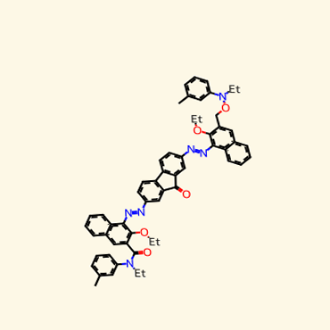 CCOc1c(CON(CC)c2cccc(C)c2)cc2ccccc2c1N=Nc1ccc2c(c1)C(=O)c1cc(N=Nc3c(OCC)c(C(=O)N(CC)c4cccc(C)c4)cc4ccccc34)ccc1-2